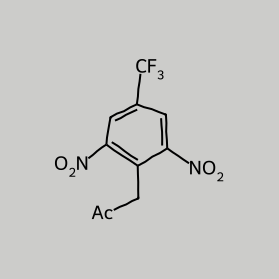 CC(=O)Cc1c([N+](=O)[O-])cc(C(F)(F)F)cc1[N+](=O)[O-]